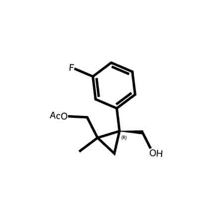 CC(=O)OCC1(C)C[C@@]1(CO)c1cccc(F)c1